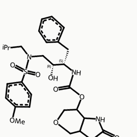 COc1ccc(S(=O)(=O)N(CC(C)C)C[C@@H](O)[C@H](Cc2ccccc2)NC(=O)OC2COCC3CC(=O)NC32)cc1